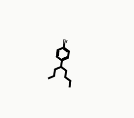 CCCCC(CCC)c1ccc(Br)cc1